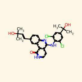 CC(C)(O)C=Cc1ccc2nc(Nc3c(Cl)cc(C(C)(C)O)cc3Cl)c3cc[nH]c(=O)c3c2c1